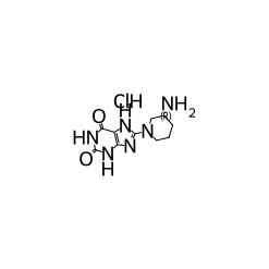 Cl.N[C@@H]1CCCN(c2nc3[nH]c(=O)[nH]c(=O)c3[nH]2)C1